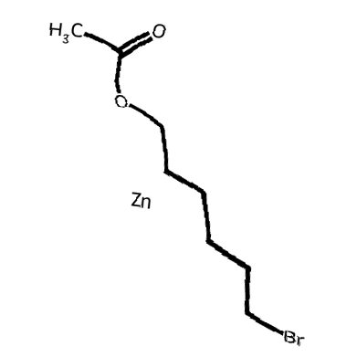 CC(=O)OCCCCCCBr.[Zn]